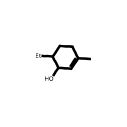 CCC1CCC(C)=CC1O